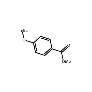 CCCCOc1ccc(C(=O)OC)cc1